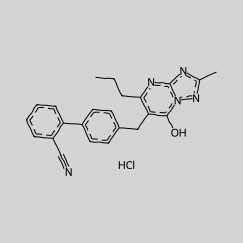 CCCc1nc2nc(C)nn2c(O)c1Cc1ccc(-c2ccccc2C#N)cc1.Cl